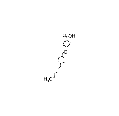 CCCCCCC1CCC(COc2ccc(C(=O)O)cc2)CC1